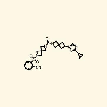 N#Cc1ccccc1S(=O)(=O)N1CC2(CN(C(=O)N3CC4(CC(n5cnc(C6CC6)n5)C4)C3)C2)C1